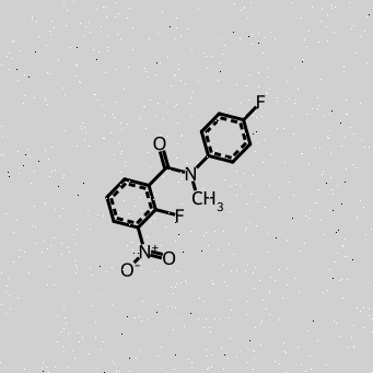 CN(C(=O)c1cccc([N+](=O)[O-])c1F)c1ccc(F)cc1